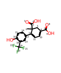 CC1(C(=O)O)CC(C(=O)O)=CC=C1c1ccc(O)c(C(F)(F)F)c1